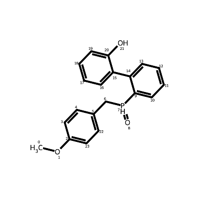 COc1ccc(C[PH](=O)c2ccccc2-c2ccccc2O)cc1